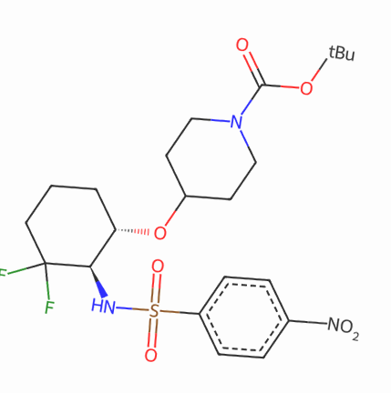 CC(C)(C)OC(=O)N1CCC(O[C@H]2CCCC(F)(F)[C@@H]2NS(=O)(=O)c2ccc([N+](=O)[O-])cc2)CC1